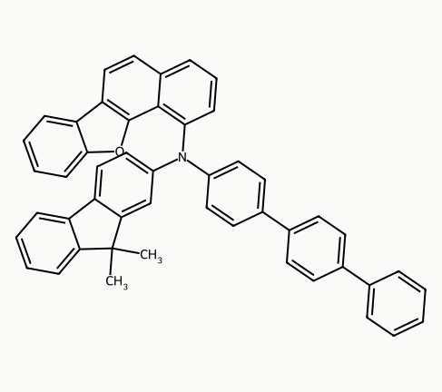 CC1(C)c2ccccc2-c2ccc(N(c3ccc(-c4ccc(-c5ccccc5)cc4)cc3)c3cccc4ccc5c6ccccc6oc5c34)cc21